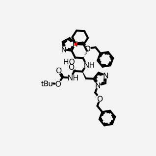 CC(C)(C)OC(=O)NC(=O)[C@H](Cc1cncn1COCc1ccccc1)N[C@@H](CC1CCCCC1)[C@@H](O)c1nccn1COCc1ccccc1